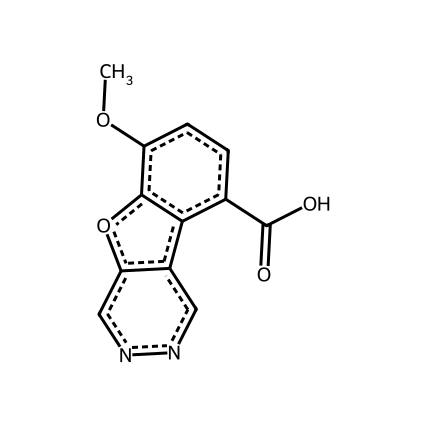 COc1ccc(C(=O)O)c2c1oc1cnncc12